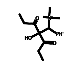 CCC(=O)C(O)(C(=O)CC)C([PH-])[N+](C)(C)C